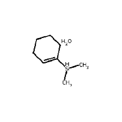 C[SiH](C)C1=CCCCC1.O